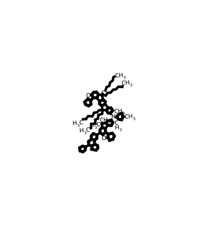 CCCCCCCCC1(CCCCCCCC)c2cc(N(c3ccc4c(c3)C(C)(C)c3cc(-c5ccc6cc(-c7ccccc7)c7ccccc7c6c5)c5oc6ccccc6c5c3-4)c3c(C)cc(C)cc3C)ccc2-c2cc3c(cc21)-c1c(ccc2oc4ccccc4c12)C3(CCCCCCCC)CCCCCCCC